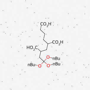 CCCCOC(CC(CC(CCCC(=O)O)C(=O)O)C(=O)O)(OCCCC)OCCCC